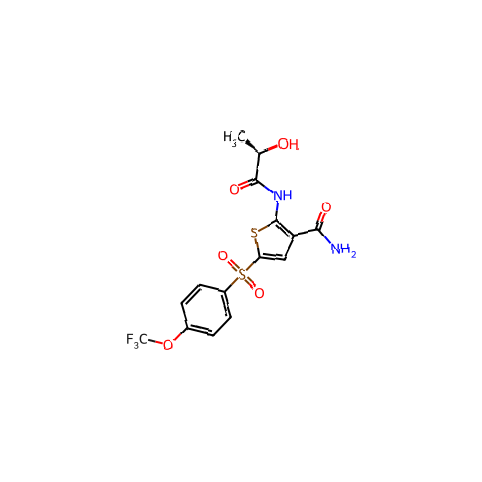 C[C@@H](O)C(=O)Nc1sc(S(=O)(=O)c2ccc(OC(F)(F)F)cc2)cc1C(N)=O